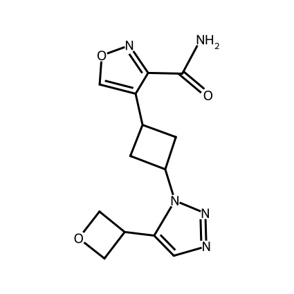 NC(=O)c1nocc1C1CC(n2nncc2C2COC2)C1